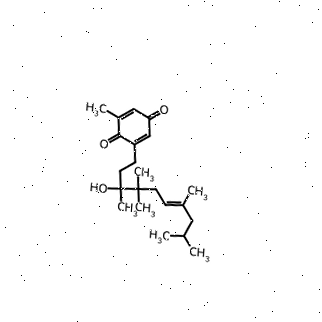 CC1=CC(=O)C=C(CCC(C)(O)C(C)(C)C/C=C(\C)CC(C)C)C1=O